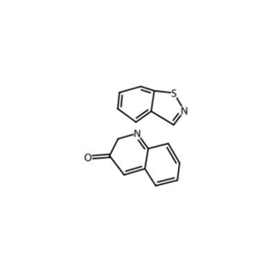 O=C1C=c2ccccc2=NC1.c1ccc2sncc2c1